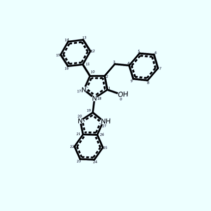 Oc1c(Cc2ccccc2)c(-c2ccccc2)nn1-c1nc2ccccc2[nH]1